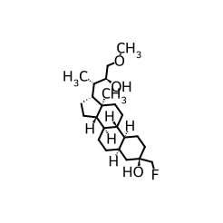 COC[C@@H](O)[C@@H](C)[C@H]1CC[C@H]2[C@@H]3CC[C@@H]4C[C@@](O)(CF)CC[C@@H]4[C@H]3CC[C@]12C